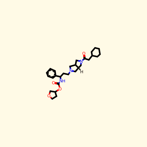 O=C(NC(CCN1CC2CN(C(=O)CC3CCCCC3)C[C@@H]2C1)c1ccccc1)OC1CCOC1